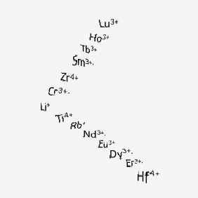 [Cr+3].[Dy+3].[Er+3].[Eu+3].[Hf+4].[Ho+3].[Li+].[Lu+3].[Nd+3].[Rb+].[Sm+3].[Tb+3].[Ti+4].[Zr+4]